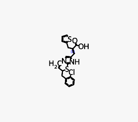 C=CC(Cc1ccccc1Cl)Sc1ncc(/C=C(\Cc2cccs2)C(=O)O)[nH]1